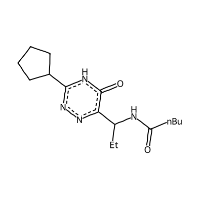 CCCCC(=O)NC(CC)c1nnc(C2CCCC2)[nH]c1=O